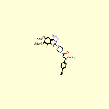 C#Cc1ccc([C@H](N)CC(=O)N2CCN(c3nc(N)c4cc(OC)c(OC)c(F)c4n3)CC2)cc1